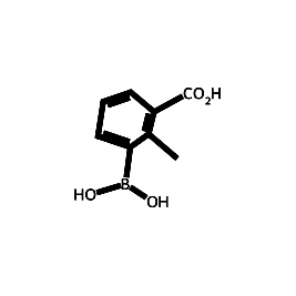 Cc1c(B(O)O)cccc1C(=O)O